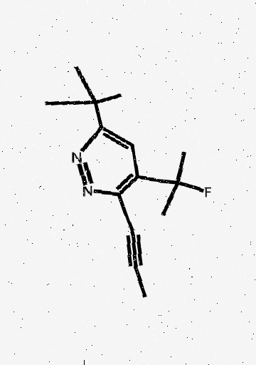 CC#Cc1nnc(C(C)(C)C)cc1C(C)(C)F